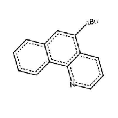 CC(C)(C)c1cc2ccccc2c2ncccc12